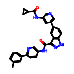 Cc1cccc(-c2ccc(NC(=O)c3n[nH]c4ccc(-c5cncc(NC(=O)C6CC6)c5)cc34)cn2)c1